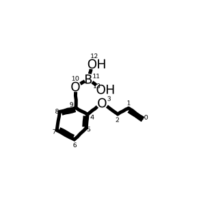 C=CCOc1ccccc1OB(O)O